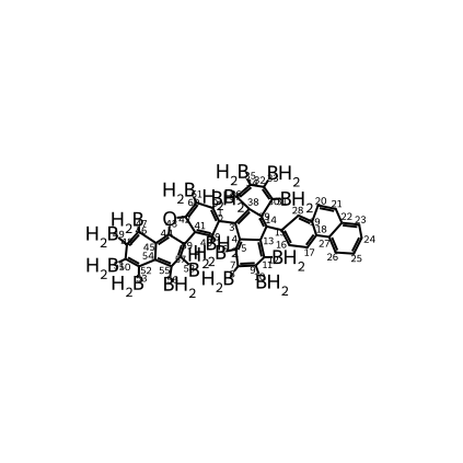 Bc1c(-c2c3c(B)c(B)c(B)c(B)c3c(-c3ccc4c(ccc5ccccc54)c3)c3c(B)c(B)c(B)c(B)c23)c(B)c2c(oc3c4c(B)c(B)c(B)c(B)c4c(B)c(B)c32)c1B